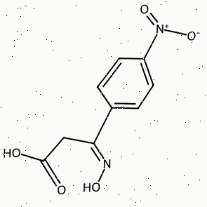 O=C(O)CC(=NO)c1ccc([N+](=O)[O-])cc1